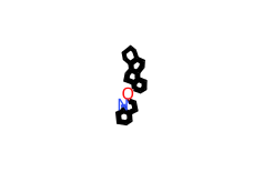 c1ccc2nc(Oc3cccc4c3ccc3c5c(ccc34)CCCC5)ccc2c1